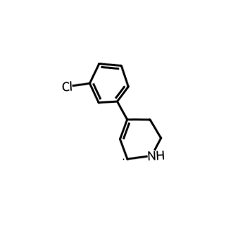 Clc1cccc(C2=C[CH]NCC2)c1